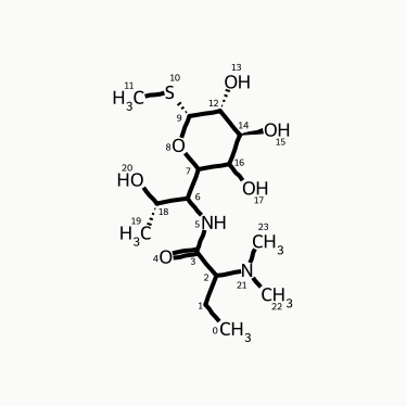 CCC(C(=O)NC(C1O[C@H](SC)[C@H](O)[C@@H](O)C1O)[C@H](C)O)N(C)C